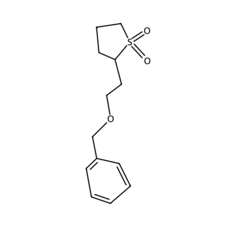 O=S1(=O)CCCC1CCOCc1ccccc1